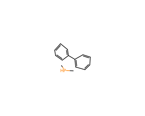 CPC.c1ccc(-c2ccccc2)cc1